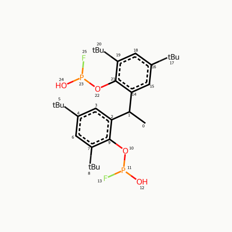 CC(c1cc(C(C)(C)C)cc(C(C)(C)C)c1OP(O)F)c1cc(C(C)(C)C)cc(C(C)(C)C)c1OP(O)F